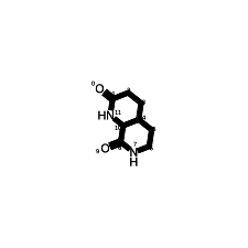 O=C1CCC2CCNC(=O)C2N1